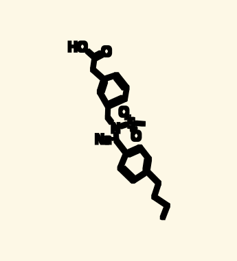 CCCCc1ccc(CN(Cc2cccc(CC(=O)O)c2)S(C)(=O)=O)cc1.[Na]